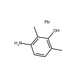 Cc1ccc(N)c(C)c1O.[Pb]